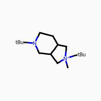 CC(C)(C)N1CCC2C[N+](C)(C(C)(C)C)CC2C1